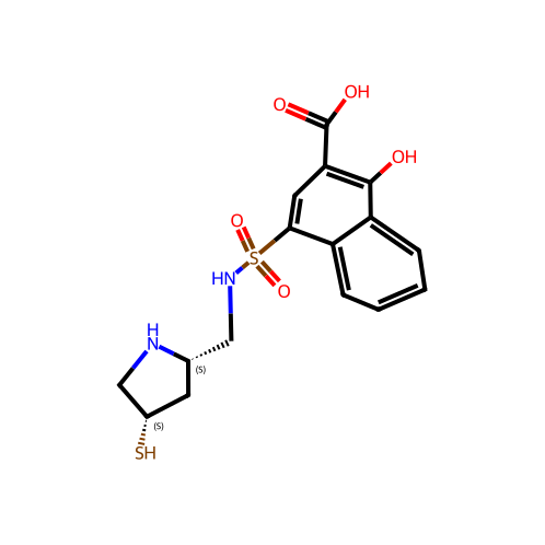 O=C(O)c1cc(S(=O)(=O)NC[C@@H]2C[C@H](S)CN2)c2ccccc2c1O